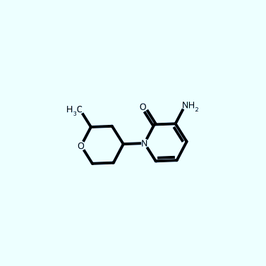 CC1CC(n2cccc(N)c2=O)CCO1